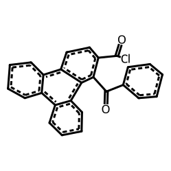 O=C(Cl)c1ccc2c3ccccc3c3ccccc3c2c1C(=O)c1ccccc1